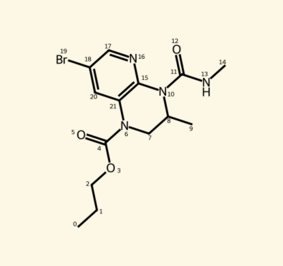 CCCOC(=O)N1CC(C)N(C(=O)NC)c2ncc(Br)cc21